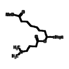 CCCCCCCC(CCCCCCC(=O)OC)OC(=O)CCCN(C)C